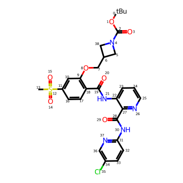 CC(C)(C)OC(=O)N1CC(COc2cc(S(C)(=O)=O)ccc2C(=O)Nc2cccnc2C(=O)Nc2ccc(Cl)cn2)C1